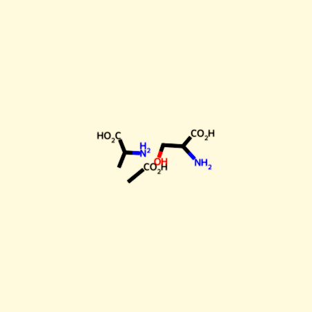 CC(=O)O.CC(N)C(=O)O.NC(CO)C(=O)O